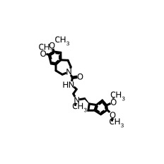 COc1cc2c(cc1OC)CCN(C(=O)NCCN(C)C[C@@H]1Cc3cc(OC)c(OC)cc31)CC2